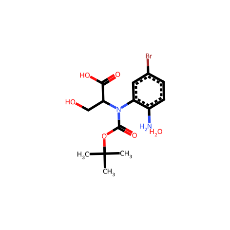 CC(C)(C)OC(=O)N(c1cc(Br)ccc1N)C(CO)C(=O)O.O